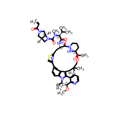 C=CC(=O)N1C[C@@H]2CN(C(=O)N(C)[C@H](C(=O)N[C@H]3Cc4nc(cs4)-c4ccc5c(c4)c(c(-c4cccnc4[C@H](C)OC)n5CC)CC(C)(C)COC[C@]4(C(=O)[SiH3])CCCN(N4)C3=O)C(C)C)[C@@H]2C1